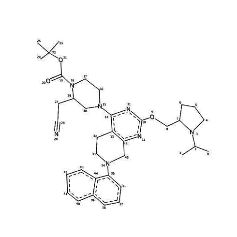 CC(C)N1CCCC1COc1nc2c(c(N3CCN(C(=O)OC(C)(C)C)C(CC#N)C3)n1)CCN(c1cccc3ccccc13)C2